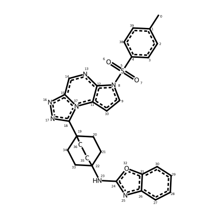 Cc1ccc(S(=O)(=O)n2ccc3c2ncc2nnc(C45CCC(Nc6nc7ccccc7o6)(CC4)CC5)n23)cc1